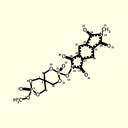 COP1(=O)OCC2(CO1)COP(=O)(On1c(=O)c3cc4c(=O)n(C)c(=O)c4cc3c1=O)OC2